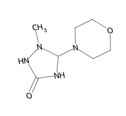 CN1NC(=O)NC1N1CCOCC1